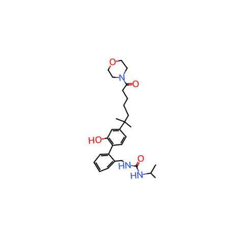 CC(C)NC(=O)NCc1ccccc1-c1ccc(C(C)(C)CCCCC(=O)N2CCOCC2)cc1O